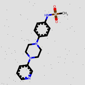 CS(=O)(=O)Nc1ccc(N2CCN(c3cccnc3)CC2)cc1